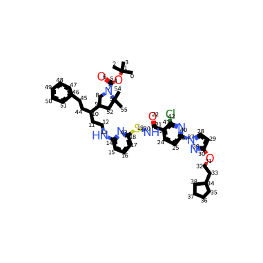 CC(C)(C)OC(=O)N1CC(C(CCNc2cccc(SNC(=O)c3ccc(-n4ccc(OCCC5CCCC5)n4)nc3Cl)n2)CCc2ccccc2)CC1(C)C